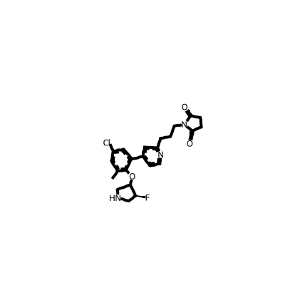 Cc1cc(Cl)cc(-c2ccnc(CCCN3C(=O)CCC3=O)c2)c1OC1CNC[C@@H]1F